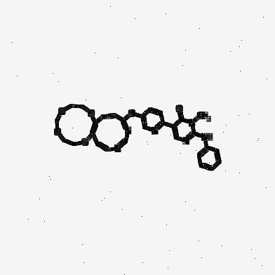 Cn1c(Nc2ccccc2)ncc(-c2ccc(Oc3ccc4c(ccncn3)OCCOCOCCO4)cn2)c1=O